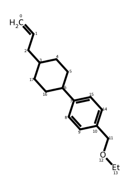 C=CCC1CCC(c2ccc(COCC)cc2)CC1